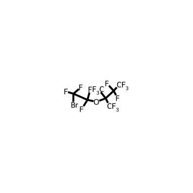 FC(F)(F)C(F)(F)C(OC(F)(F)C(F)(F)Br)(C(F)(F)F)C(F)(F)F